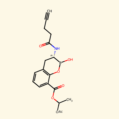 C#CCCC(=O)N[C@H]1Cc2cccc(C(=O)OC(C)OC(C)=O)c2OB1O